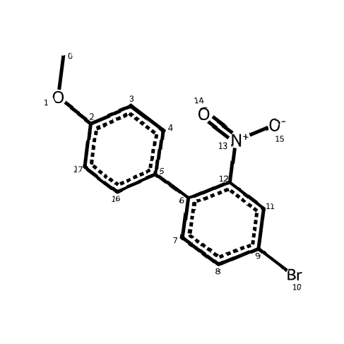 COc1ccc(-c2ccc(Br)cc2[N+](=O)[O-])cc1